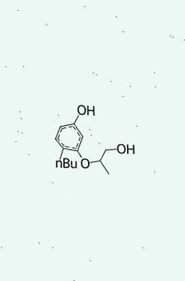 CCCCc1ccc(O)cc1OC(C)CO